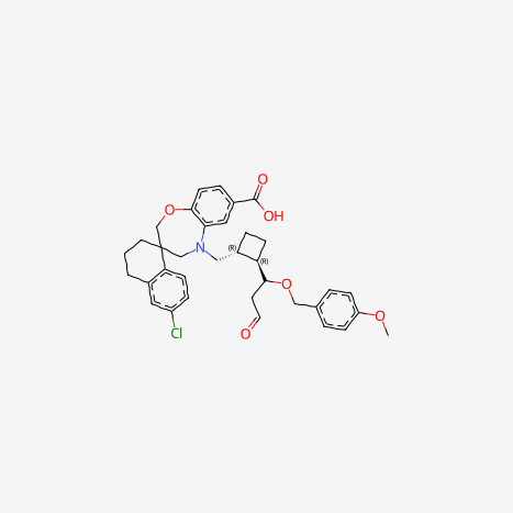 COc1ccc(COC(CC=O)[C@@H]2CC[C@H]2CN2CC3(CCCc4cc(Cl)ccc43)COc3ccc(C(=O)O)cc32)cc1